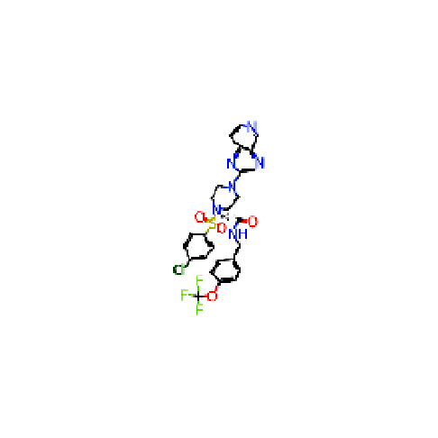 O=C(NCc1ccc(OC(F)(F)F)cc1)[C@H]1CN(c2cnc3cnccc3n2)CCN1S(=O)(=O)c1ccc(Cl)cc1